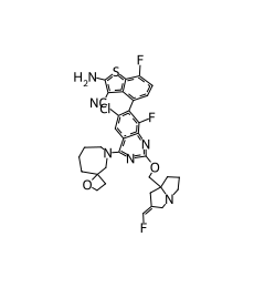 N#Cc1c(N)sc2c(F)ccc(-c3c(Cl)cc4c(N5CCCCC6(CCO6)C5)nc(OCC56CCCN5C/C(=C\F)C6)nc4c3F)c12